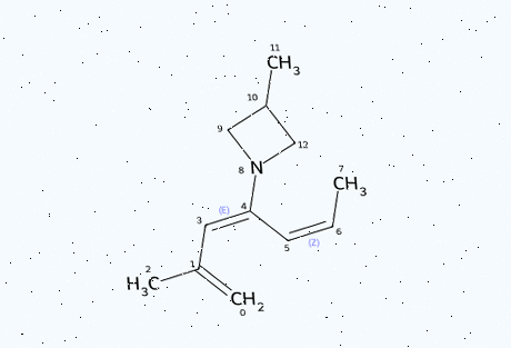 C=C(C)/C=C(\C=C/C)N1CC(C)C1